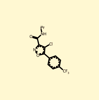 CC(C)NC(=O)c1noc(-c2ccc(C(F)(F)F)cc2)c1Cl